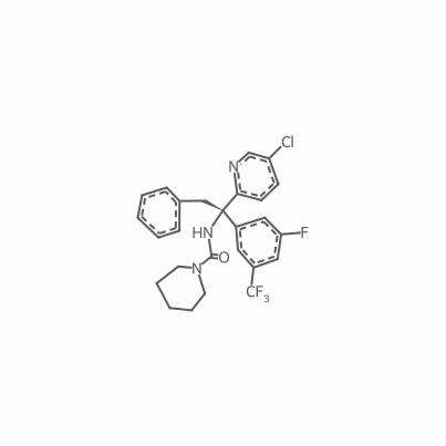 O=C(N[C@@](Cc1ccccc1)(c1cc(F)cc(C(F)(F)F)c1)c1ccc(Cl)cn1)N1CCCCC1